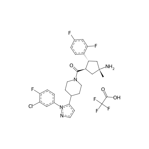 C[C@@]1(N)C[C@@H](C(=O)N2CCC(c3ccnn3-c3ccc(F)c(Cl)c3)CC2)[C@H](c2ccc(F)cc2F)C1.O=C(O)C(F)(F)F